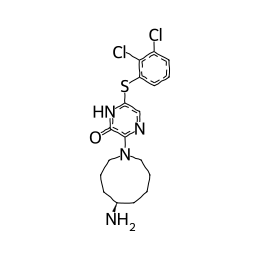 N[C@@H]1CCCCN(c2ncc(Sc3cccc(Cl)c3Cl)[nH]c2=O)CCC1